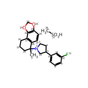 CC1(N2CCC(c3cccc(F)c3)C2)CCCc2c1ccc1c2OCO1.CS(=O)(=O)O